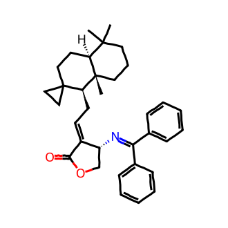 CC1(C)CCC[C@@]2(C)[C@H]1CCC1(CC1)[C@@H]2C/C=C1/C(=O)OC[C@H]1N=C(c1ccccc1)c1ccccc1